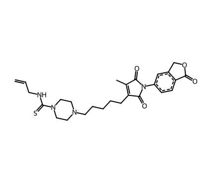 C=CCNC(=S)N1CCN(CCCCCC2=C(C)C(=O)N(c3ccc4c(c3)COC4=O)C2=O)CC1